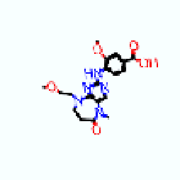 COCCN1CCC(=O)N(C)c2cnc(Nc3ccc(C(=O)O)cc3OC)nc21